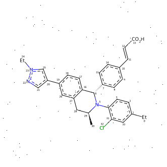 CCc1ccc(N2[C@@H](c3ccc(/C=C/C(=O)O)cc3)c3ccc(-c4cnn(CC)c4)cc3C[C@@H]2C)c(Cl)c1